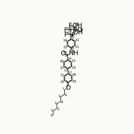 CCCCCCCCOc1ccc(-c2ccc(C(=O)Nc3ccc(C(F)(F)C(F)(F)P(=O)(O)O)cc3)cc2)cc1